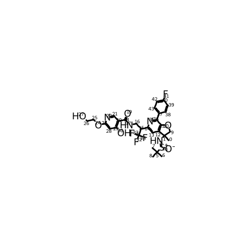 CC1(N[S+]([O-])C(C)(C)C)COc2c1cc(C(CNC(=O)c1cnc(OCCO)cc1O)C(F)(F)F)nc2-c1ccc(F)cc1